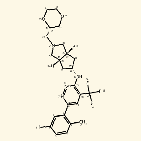 Cc1ccc(F)cc1-c1cc(C(F)(F)F)c(N[C@@H]2C[C@@H]3CN(C[C@H]4COCCO4)C[C@@H]3C2)nn1